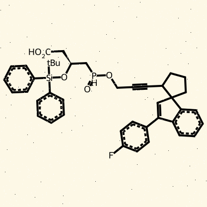 CC(C)(C)[Si](O[C@@H](CC(=O)O)C[PH](=O)OCC#CC1CCCC12C=C(c1ccc(F)cc1)c1ccccc12)(c1ccccc1)c1ccccc1